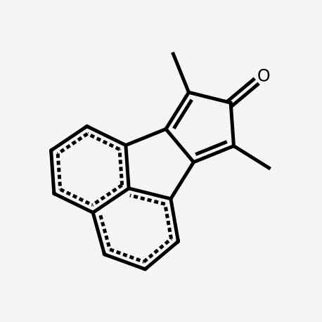 CC1=C2C(=C(C)C1=O)c1cccc3cccc2c13